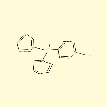 CCS(c1ccccc1)(c1ccccc1)c1ccc(C(C)(C)C)cc1